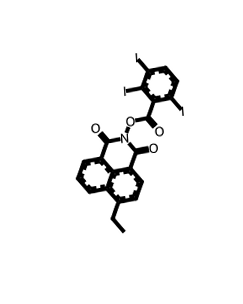 CCc1ccc2c3c(cccc13)C(=O)N(OC(=O)c1c(I)ccc(I)c1I)C2=O